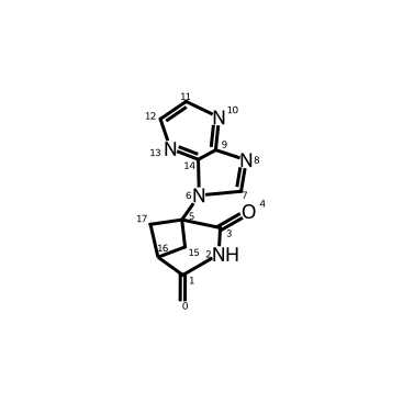 C=C1NC(=O)C2(n3cnc4nccnc43)CC1C2